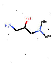 CCCCN(CCCC)CC(O)CN